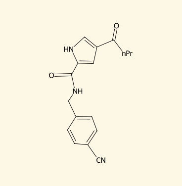 CCCC(=O)c1c[nH]c(C(=O)NCc2ccc(C#N)cc2)c1